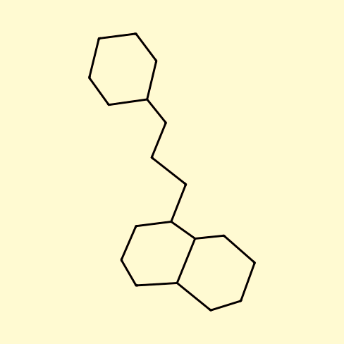 C1CCC(CCCC2CCCC3CCCCC32)CC1